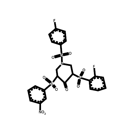 O=C1C(S(=O)(=O)c2cccc([N+](=O)[O-])c2)CN(S(=O)(=O)c2ccc(F)cc2)CC1S(=O)(=O)c1ccccc1F